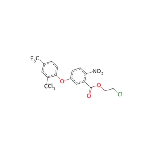 O=C(OCCCl)c1cc(Oc2ccc(C(F)(F)F)cc2C(Cl)(Cl)Cl)ccc1[N+](=O)[O-]